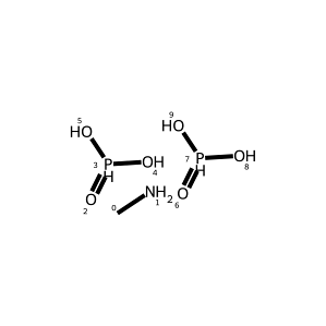 CN.O=[PH](O)O.O=[PH](O)O